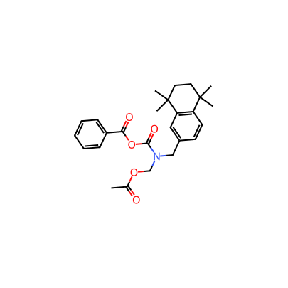 CC(=O)OCN(Cc1ccc2c(c1)C(C)(C)CCC2(C)C)C(=O)OC(=O)c1ccccc1